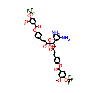 COc1cc(C(=O)Oc2ccc(C=CC(=O)CC(c3cc(N)cc(N)c3)C(O)(O)C(=O)C=Cc3ccc(OC(=O)c4ccc(OC(F)(F)F)c(OC)c4)cc3)cc2)ccc1OC(F)(F)F